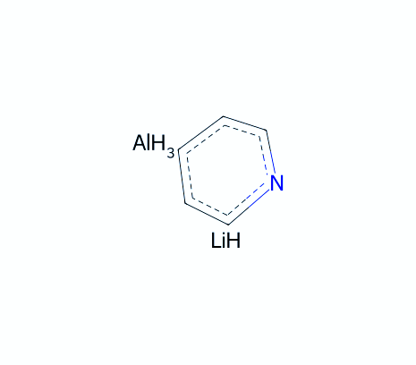 [AlH3].[LiH].c1ccncc1